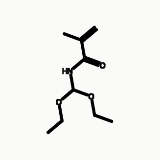 C=C(C)C(=O)NC(OCC)OCC